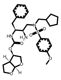 COc1ccc(S(=O)(=O)N(CC2CCCC2)C[C@@H](N)[C@H](Cc2ccccc2)NC(=O)O[C@H]2CO[C@H]3OCC[C@H]32)cc1